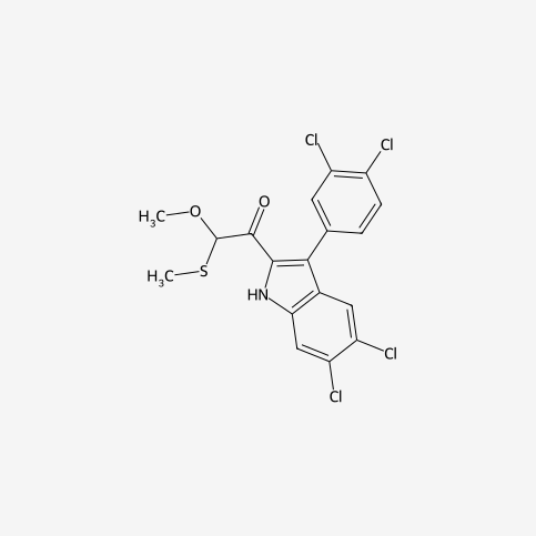 COC(SC)C(=O)c1[nH]c2cc(Cl)c(Cl)cc2c1-c1ccc(Cl)c(Cl)c1